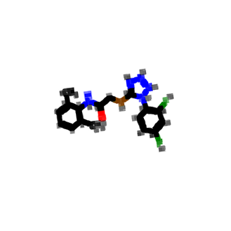 Cc1cccc(C)c1NC(=O)CSc1nnnn1-c1ccc(F)cc1F